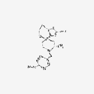 CCc1cc2c(s1)CCOC21CCN(Cc2ccc(NC)nc2)[C@@H](C)C1